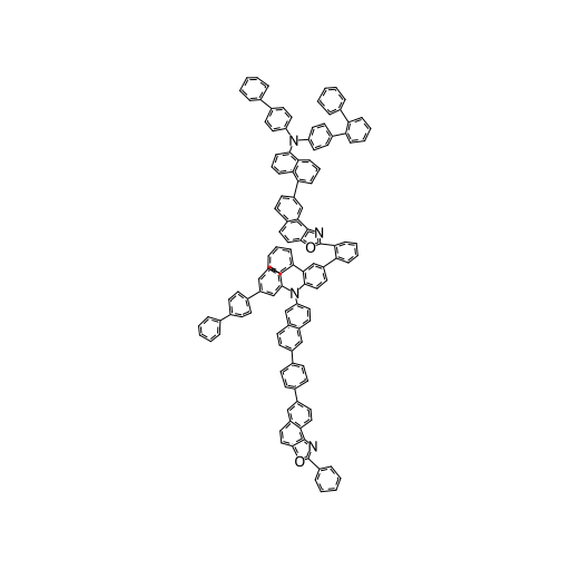 c1ccc(-c2ccc(-c3cccc(N(c4ccc5cc(-c6ccc(-c7ccc8c(ccc9oc(-c%10ccccc%10)nc98)c7)cc6)ccc5c4)c4ccc(-c5ccccc5-c5nc6c(ccc7ccc(-c8cccc9c(N(c%10ccc(-c%11ccccc%11)cc%10)c%10ccc(-c%11ccccc%11-c%11ccccc%11)cc%10)cccc89)cc76)o5)cc4-c4ccccc4)c3)cc2)cc1